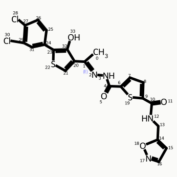 C/C(=N\NC(=O)c1ccc(C(=O)NCc2ccno2)s1)c1csc(-c2ccc(Cl)c(Cl)c2)c1O